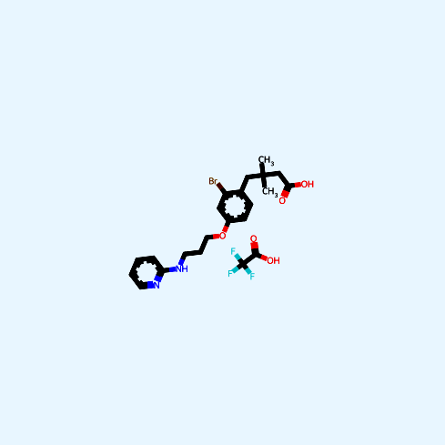 CC(C)(CC(=O)O)Cc1ccc(OCCCNc2ccccn2)cc1Br.O=C(O)C(F)(F)F